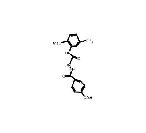 COc1ccc(C(=O)NNC(=O)Nc2cc(C)ccc2OC)cc1